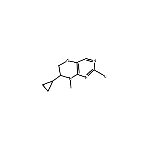 CN1c2nc(Cl)ncc2OCC1C1CC1